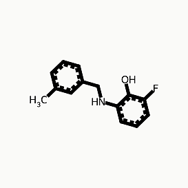 Cc1cccc(CNc2cccc(F)c2O)c1